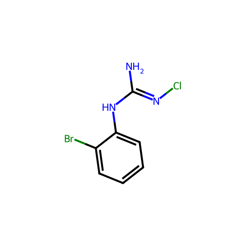 NC(=NCl)Nc1ccccc1Br